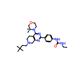 CCNC(=O)Nc1ccc(-c2nc3c(c(N4CCOC[C@@H]4C)n2)CCN(CCC(C)(C)C)C3)cc1